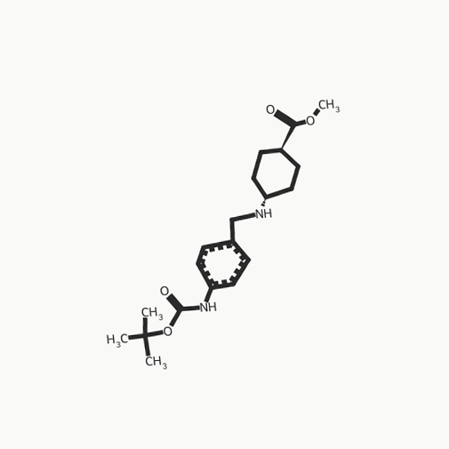 COC(=O)[C@H]1CC[C@H](NCc2ccc(NC(=O)OC(C)(C)C)cc2)CC1